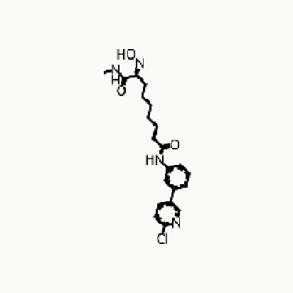 CNC(=O)/C(CCCCCCC(=O)Nc1cccc(-c2ccc(Cl)nc2)c1)=N\O